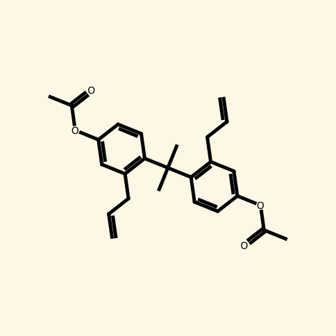 C=CCc1cc(OC(C)=O)ccc1C(C)(C)c1ccc(OC(C)=O)cc1CC=C